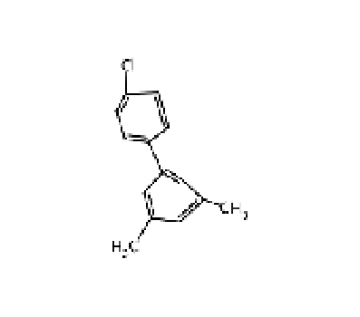 Cc1cc(C)cc(-c2ccc(Cl)cc2)c1